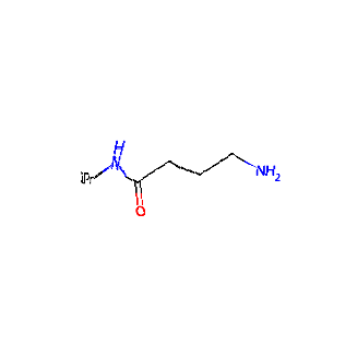 CC(C)NC(=O)CCCN